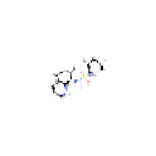 O=S(=O)(Nc1c(Cl)ccc2cccnc12)c1ncccc1Cl